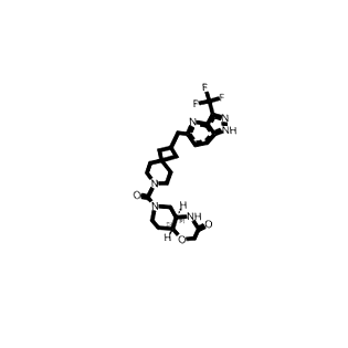 O=C1CO[C@H]2CCN(C(=O)N3CCC4(CC3)CC(Cc3ccc5[nH]nc(C(F)(F)F)c5n3)C4)C[C@H]2N1